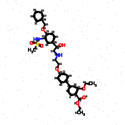 CCOC(=O)c1ccc(-c2ccc(OCCNC[C@H](O)c3ccc(OCc4ccccc4)c(NS(C)(=O)=O)c3)cc2)cc1OCC